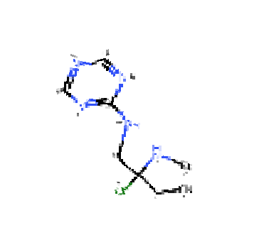 CCNC(Cl)(CC#N)CNc1ncncn1